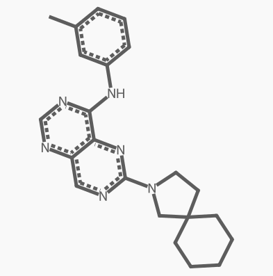 Cc1cccc(Nc2ncnc3cnc(N4CCC5(CCCCC5)C4)nc23)c1